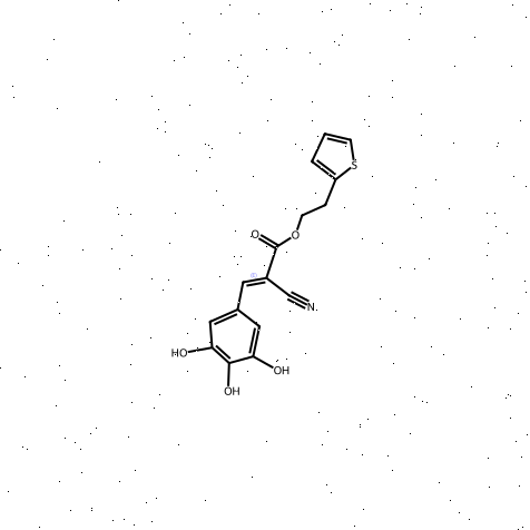 N#C/C(=C\c1cc(O)c(O)c(O)c1)C(=O)OCCc1cccs1